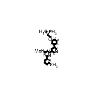 CNc1cc(-c2cncc(-c3cccc(OCCN(C)C)c3)c2)nc(-c2cccc(C)n2)n1